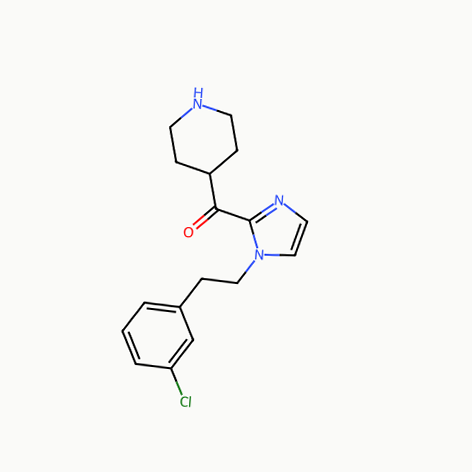 O=C(c1nccn1CCc1cccc(Cl)c1)C1CCNCC1